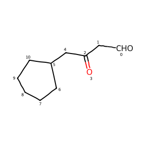 O=CCC(=O)CC1CCCCC1